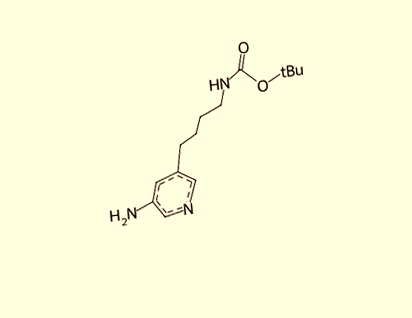 CC(C)(C)OC(=O)NCCCCc1cncc(N)c1